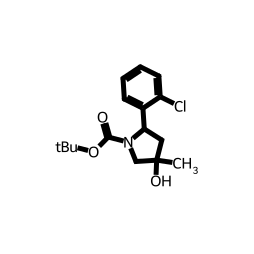 CC1(O)CC(c2ccccc2Cl)N(C(=O)OC(C)(C)C)C1